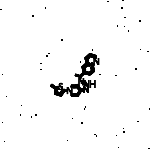 Cc1ccc(N2C=CC3=NNN(C(C)c4ccc5ncccc5c4)C3=C2)s1